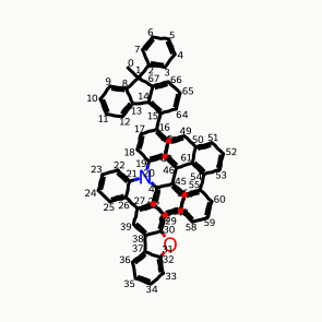 CC1(c2ccccc2)c2ccccc2-c2c(-c3ccc(N(c4ccccc4-c4ccc5oc6ccccc6c5c4)c4ccccc4-c4cccc5cccc(-c6ccccc6)c45)cc3)cccc21